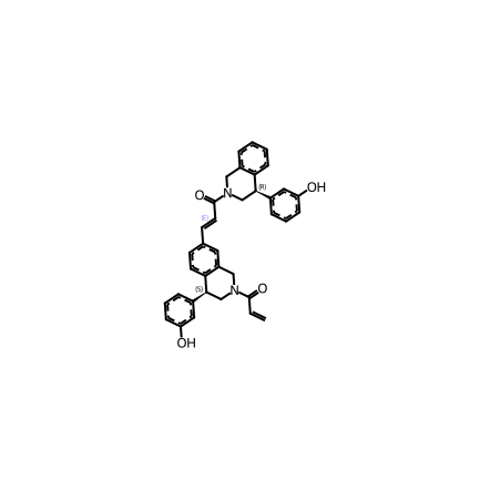 C=CC(=O)N1Cc2cc(/C=C/C(=O)N3Cc4ccccc4[C@@H](c4cccc(O)c4)C3)ccc2[C@H](c2cccc(O)c2)C1